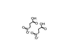 O=C(O)CC[N+](=O)[O-].O=C(O)CC[N+](=O)[O-]